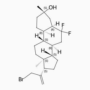 C=C(CBr)[C@H]1CC[C@H]2[C@@H]3CC(F)(F)[C@@H]4C[C@@](C)(O)CC[C@@H]4[C@H]3CC[C@]12C